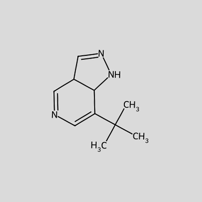 CC(C)(C)C1=CN=CC2C=NNC12